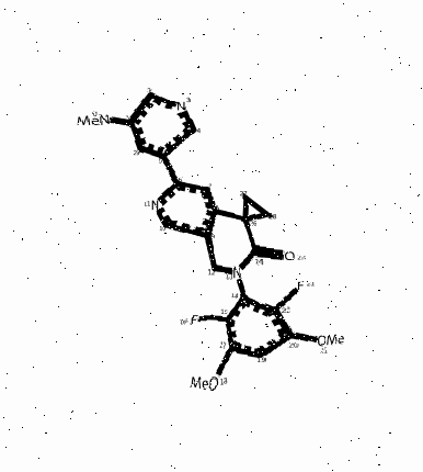 CNc1cncc(-c2cc3c(cn2)CN(c2c(F)c(OC)cc(OC)c2F)C(=O)C32CC2)c1